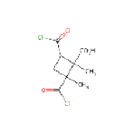 CC1(C(=O)Cl)CC(C(=O)Cl)C1(C)C(=O)O